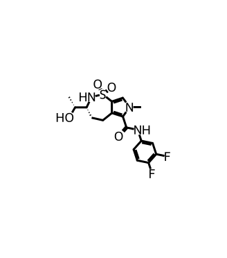 C[C@@H](O)[C@H]1CCc2c(cn(C)c2C(=O)Nc2ccc(F)c(F)c2)S(=O)(=O)N1